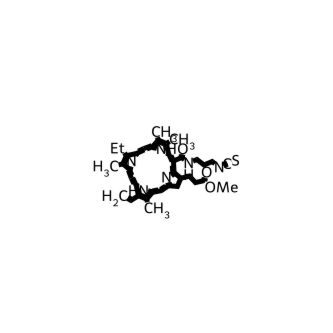 C=Cc1c(C)c2cc3nc(c(C(=O)NCCCN=C=S)c4[nH]c(cc5nc(cc1[nH]2)C(C)=C5CC)c(C)c4C)C(CCC(=O)OC)C3